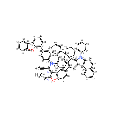 C#C/C(=c1\c(=C/C)oc2ccc(-c3ccc4c(c3)c3c5ccccc5ccc3n4-c3ccccc3)cc12)N(c1ccc(-c2cccc3c2oc2ccccc23)cc1)c1cccc2c1C1=C(C=CCC1)C21CCCCC1